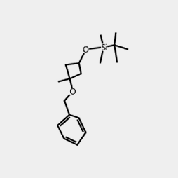 CC1(OCc2ccccc2)CC(O[Si](C)(C)C(C)(C)C)C1